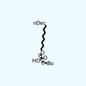 CCCCCCCCCCCCCCCCCCOOP(=O)(O)OC(C)CC